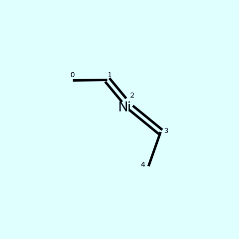 C[CH]=[Ni]=[CH]C